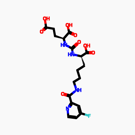 O=C(O)CC[C@H](NC(=O)N[C@@H](CCCCNC(=O)c1cc(F)ccn1)C(=O)O)C(=O)O